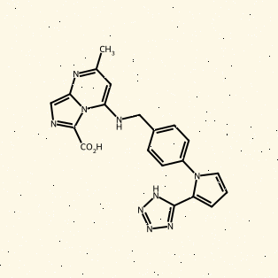 Cc1cc(NCc2ccc(-n3cccc3-c3nnn[nH]3)cc2)n2c(C(=O)O)ncc2n1